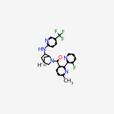 Cc1ccc(C(=O)N2C[C@H]3CC(Nc4ccc(C(F)(F)F)cn4)C2C3)c(-c2ncccc2F)n1